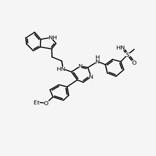 CCOc1ccc(-c2cnc(Nc3cccc(S(C)(=N)=O)c3)nc2NCCc2c[nH]c3ccccc23)cc1